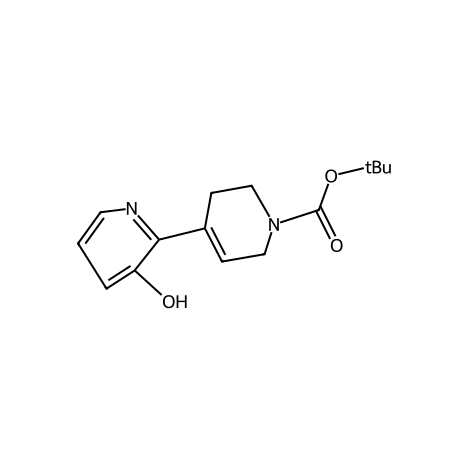 CC(C)(C)OC(=O)N1CC=C(c2ncccc2O)CC1